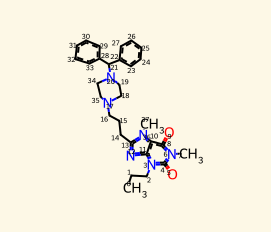 CCCn1c(=O)n(C)c(=O)c2c1nc(CCCN1CCN(C(c3ccccc3)c3ccccc3)CC1)n2C